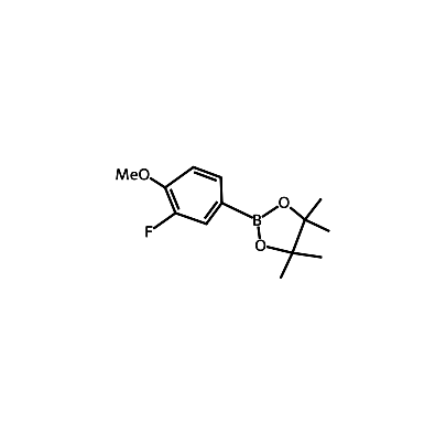 COc1ccc(B2OC(C)(C)C(C)(C)O2)cc1F